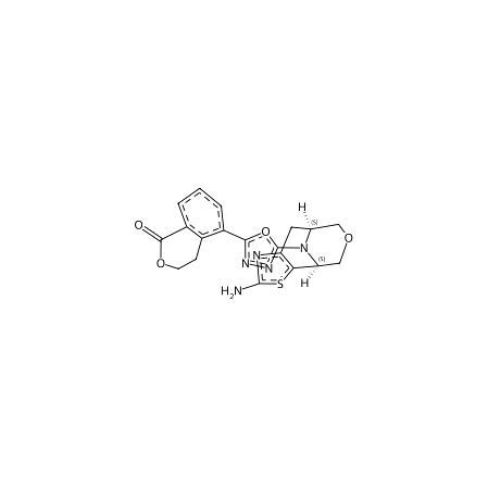 Nc1nc2c(s1)[C@@H]1COC[C@H](C2)N1c1nnc(-c2cccc3c2CCOC3=O)o1